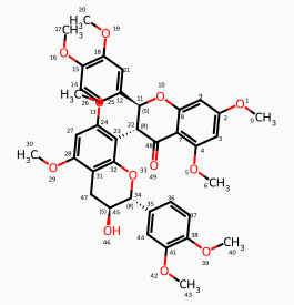 COc1cc(OC)c2c(c1)O[C@H](c1ccc(OC)c(OC)c1)[C@@H](c1c(OC)cc(OC)c3c1O[C@H](c1ccc(OC)c(OC)c1)[C@@H](O)C3)C2=O